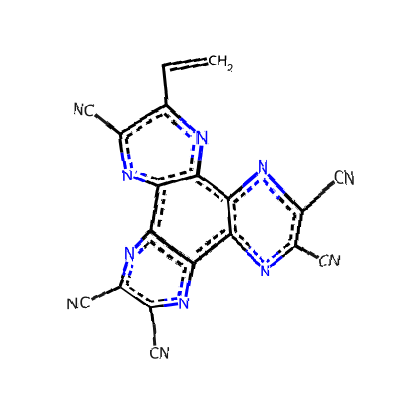 C=Cc1nc2c3nc(C#N)c(C#N)nc3c3nc(C#N)c(C#N)nc3c2nc1C#N